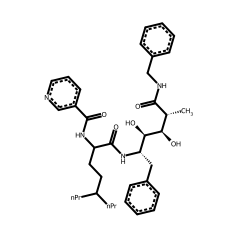 CCCC(CCC)CCC(NC(=O)c1cccnc1)C(=O)N[C@@H](Cc1ccccc1)[C@@H](O)[C@H](O)[C@@H](C)C(=O)NCc1ccccc1